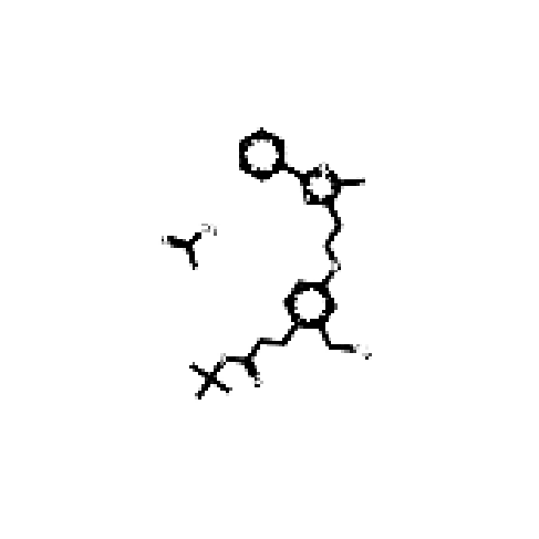 CC(=O)O.Cc1oc(-c2ccccc2)nc1CCOc1ccc(CCC(=O)OC(C)(C)C)c(CN)c1